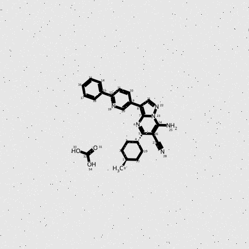 C[C@H]1CC[C@H](c2nc3c(-c4ccc(-c5ccccc5)nc4)cnn3c(N)c2C#N)CC1.O=C(O)O